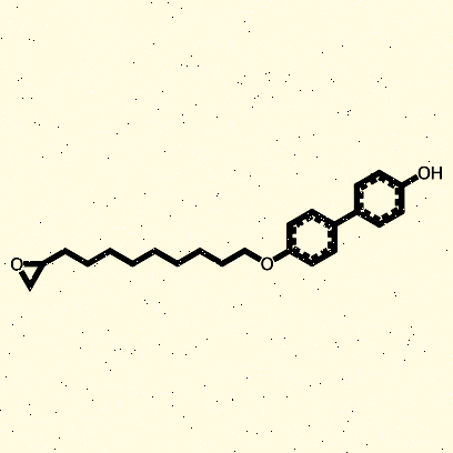 Oc1ccc(-c2ccc(OCCCCCCCCCC3CO3)cc2)cc1